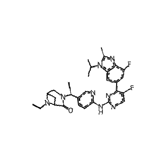 CCN1C2CC1C(=O)N([C@@H](C)c1ccc(Nc3ncc(F)c(-c4cc(F)c5nc(C)n(C(C)C)c5c4)n3)nc1)C2